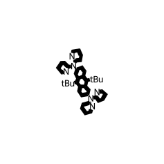 CC(C)(C)c1c2ccc(N(c3ccccn3)c3ccccn3)cc2c(C(C)(C)C)c2ccc(N(c3ccccn3)c3ccccn3)cc12